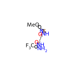 COc1ccc(-c2csc(NC(=O)CCCCCC(=O)Nc3cc(C(F)(F)F)ccc3N)n2)cc1